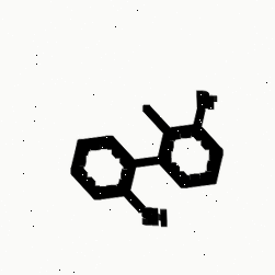 Cc1c(Br)cccc1-c1ccccc1S